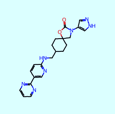 O=C1OC2(CCC(CNc3ccc(-c4ncccn4)cn3)CC2)CN1c1cn[nH]c1